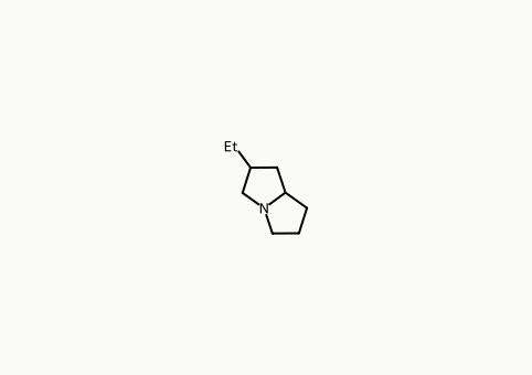 CCC1CC2CCCN2C1